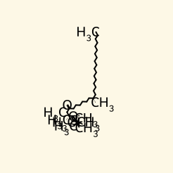 CCCCCCCCCCCCCCCCCC[C@H](C)CCCCCCC(=O)[C@@H](C)[C@@H](C)O[Si](C)(C)C(C)(C)C